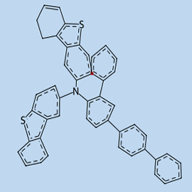 C1=Cc2sc3ccc(N(c4ccc5sc6ccccc6c5c4)c4ccc(-c5ccc(-c6ccccc6)cc5)cc4-c4ccccc4)cc3c2CC1